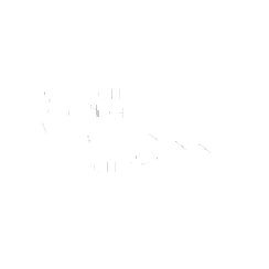 CC=CC=CC=CC(CC(OP(=O)(O)O)C(C)(O)C=CC1CC=CC(=O)O1)OC(C)=O